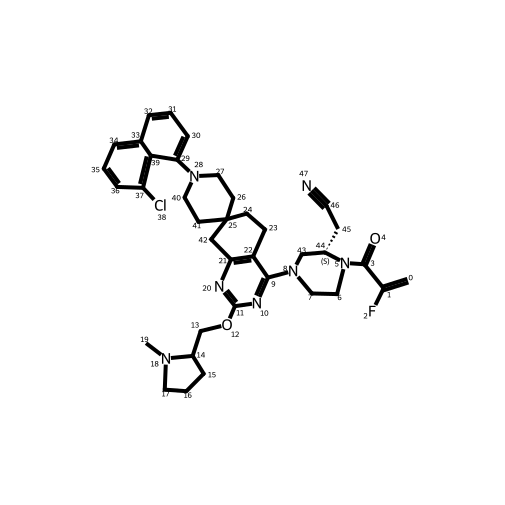 C=C(F)C(=O)N1CCN(c2nc(OCC3CCCN3C)nc3c2CCC2(CCN(c4cccc5cccc(Cl)c45)CC2)C3)C[C@@H]1CC#N